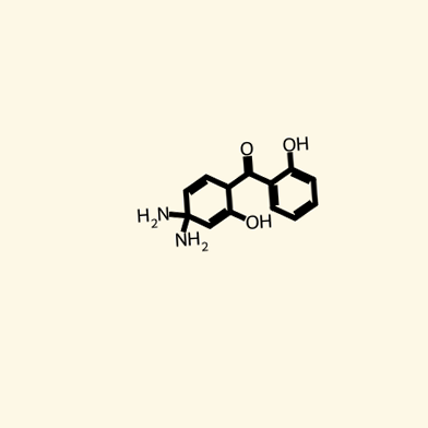 NC1(N)C=CC(C(=O)c2ccccc2O)C(O)=C1